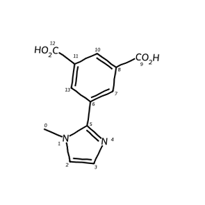 Cn1ccnc1-c1cc(C(=O)O)cc(C(=O)O)c1